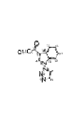 O=CC(=O)c1cn(-n2ccnn2)c2ccccc12